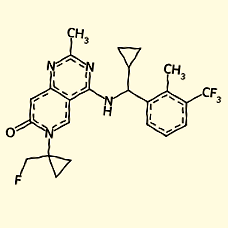 Cc1nc(NC(c2cccc(C(F)(F)F)c2C)C2CC2)c2cn(C3(CF)CC3)c(=O)cc2n1